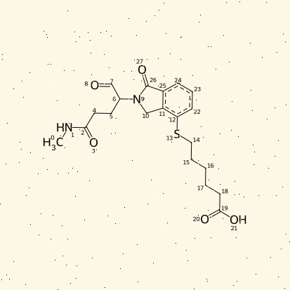 CNC(=O)CCC(C=O)N1Cc2c(SCCCCCC(=O)O)cccc2C1=O